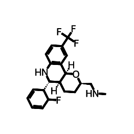 CNC[C@H]1CC[C@@H]2[C@H](O1)c1cc(C(F)(F)F)ccc1N[C@H]2C1C=CC=CC1F